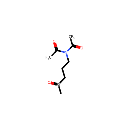 C[Si](=O)CCCN(C(=O)C(F)(F)F)C(=O)C(F)(F)F